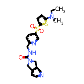 CCN(C)c1ccc(S(=O)(=O)c2ccc(CNC(=O)N3Cc4ccncc4C3)nc2)s1